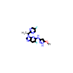 CC(C)Oc1cc(Nc2nc3c(cc2F)ncn3[C@@H](C)c2ncc(F)cn2)n[nH]1